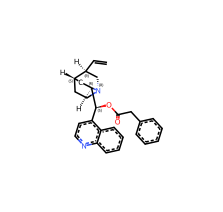 C=C[C@H]1C[N@]2CC[C@H]1C[C@@H]2[C@@H](OC(=O)Cc1ccccc1)c1ccnc2ccccc12